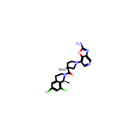 COC1(C(=O)N2CCc3cc(Cl)cc(Cl)c3[C@@H]2C)CCN(c2cncc3nc(N)oc23)C1